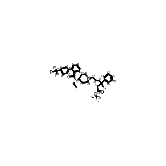 CCN(C(=O)c1ccccc1-c1ccc(C(F)(F)F)cc1)C1CCN(CCCC(C)(CC(=O)OC(C)(C)C)c2ccccc2)CC1